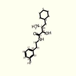 N[C@H](CC1CCCCC1)C(O)C(=O)NCCc1cccc(F)c1